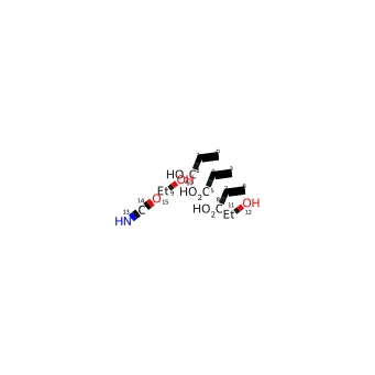 C=CC(=O)O.C=CC(=O)O.C=CC(=O)O.CCO.CCO.N=C=O